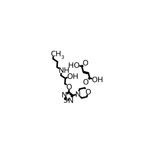 CCCCNCC(O)COc1nsnc1N1CCOCC1.O=C(O)C=CC(=O)O